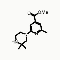 COC(=O)c1cc(C)nc(N2CCNC(C)(C)C2)c1